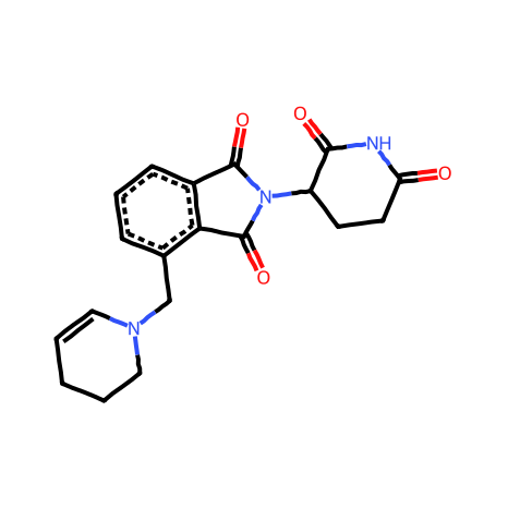 O=C1CCC(N2C(=O)c3cccc(CN4C=CCCC4)c3C2=O)C(=O)N1